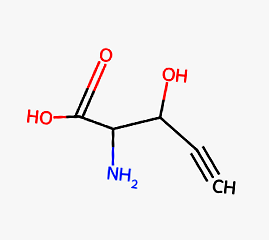 C#CC(O)C(N)C(=O)O